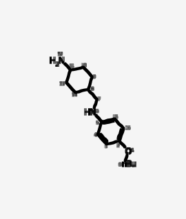 CCCCOc1ccc(NCC2CCC(N)CC2)cc1